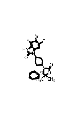 CC1(C)OC(=O)N(C2CCC(n3c(=O)[nH]c4c(F)c(Br)c(F)cc43)CC2)[C@H]1c1ccccc1